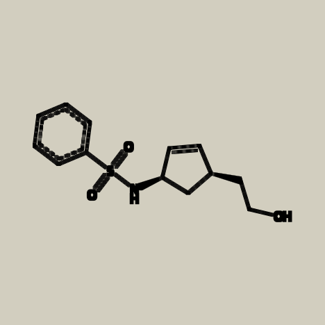 O=S(=O)(N[C@H]1C=C[C@@H](CCO)C1)c1ccccc1